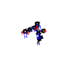 N#Cc1cnn2c(-c3cc(NC4CCOCC4)c(-c4nnc(N5CC6CCCC(C5)N6CC5CCN(c6ccc(C7CCC(=O)NC7=O)cn6)CC5)s4)cn3)ccc2c1